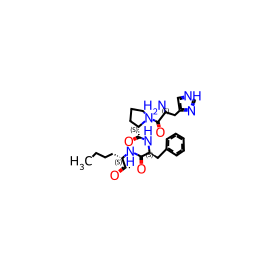 CCCC[C@@H]([C]=O)NC(=O)[C@H](Cc1ccccc1)NC(=O)[C@@H]1CCCN1C(=O)[C@@H](N)Cc1c[nH]cn1